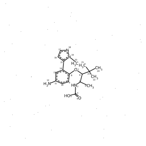 CC(NC(=O)O)C(Oc1ccc(N)cc1-c1ccnn1C)C(C)(C)C